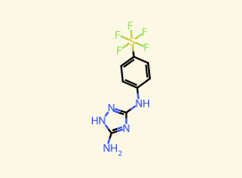 Nc1nc(Nc2ccc(S(F)(F)(F)(F)F)cc2)n[nH]1